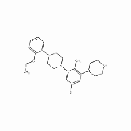 CCOc1ccccc1N1CCN(c2cc(Cl)cc(N3CCNCC3)c2C)CC1